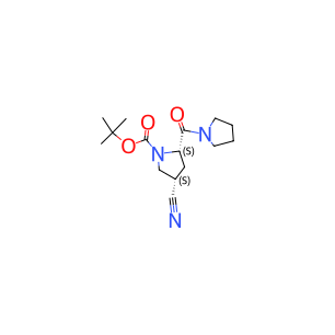 CC(C)(C)OC(=O)N1C[C@@H](C#N)C[C@H]1C(=O)N1CCCC1